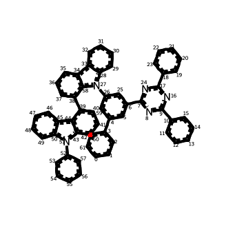 c1ccc(-c2cc(-c3nc(-c4ccccc4)nc(-c4ccccc4)n3)cc(-n3c4ccccc4c4cccc(-c5cccc6c5c5ccccc5n6-c5ccccc5)c43)c2)cc1